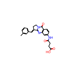 Cc1cccc(C=C2CCn3c2nc2cc(NC(=O)CCC(=O)O)ccc2c3=O)c1